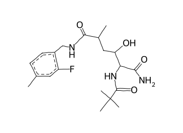 Cc1ccc(CNC(=O)C(C)CC(O)C(NC(=O)C(C)(C)C)C(N)=O)c(F)c1